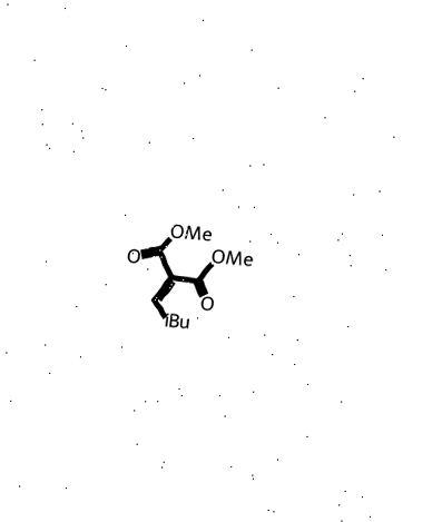 CCC(C)C=C(C(=O)OC)C(=O)OC